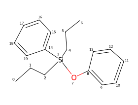 CCC[Si](CCC)(Oc1ccccc1)c1ccccc1